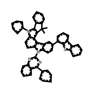 CC1(C)c2ccccc2-c2c1c1c3c4cc(-c5cccc6c5sc5ccccc56)ccc4n(-c4nc(-c5ccccc5)c5ccccc5n4)c3ccc1n2-c1ccccc1